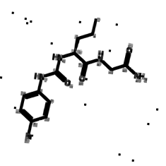 CCC[C@H](NC(=O)Nc1ccc(Br)cc1)C(=O)NCC(N)=O